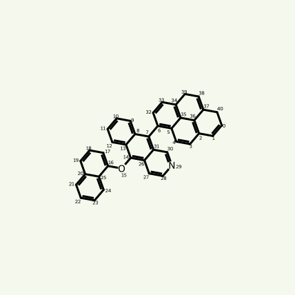 C1=Cc2ccc3c(-c4c5ccccc5c(Oc5cccc6ccccc56)c5ccncc45)ccc4c3c2C(=CC4)C1